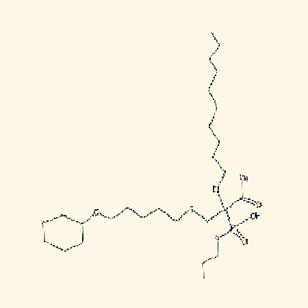 CCCCCCCCCCOC(CSCCCCCOC1CCCCC1)(C(=O)O)P(=O)(O)OCCC